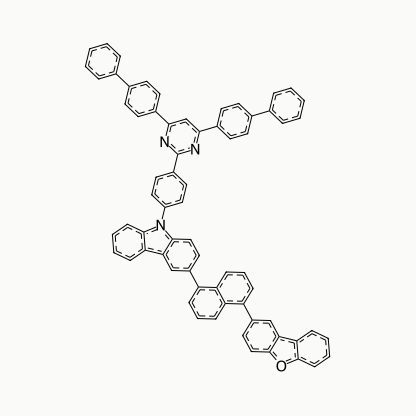 c1ccc(-c2ccc(-c3cc(-c4ccc(-c5ccccc5)cc4)nc(-c4ccc(-n5c6ccccc6c6cc(-c7cccc8c(-c9ccc%10oc%11ccccc%11c%10c9)cccc78)ccc65)cc4)n3)cc2)cc1